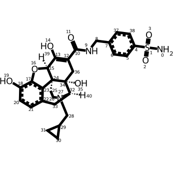 NS(=O)(=O)c1ccc(CNC(=O)C2=C(O)[C@@H]3Oc4c(O)ccc5c4[C@@]34CCN(CC3CC3)[C@H](C5)[C@]4(O)C2)cc1